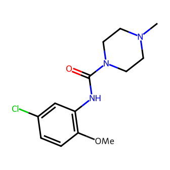 COc1ccc(Cl)cc1NC(=O)N1CCN(C)CC1